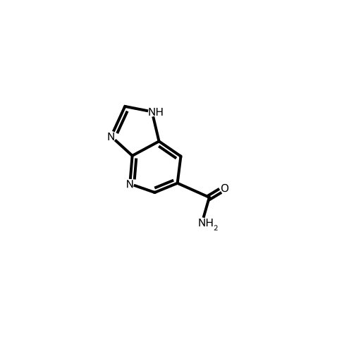 NC(=O)c1cnc2nc[nH]c2c1